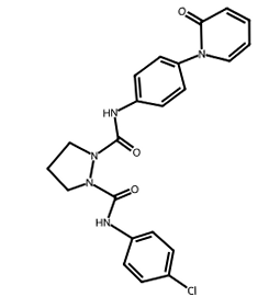 O=C(Nc1ccc(Cl)cc1)N1CCCN1C(=O)Nc1ccc(-n2ccccc2=O)cc1